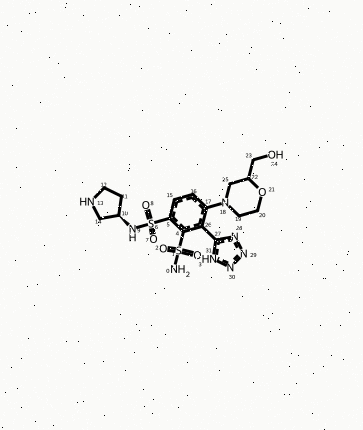 NS(=O)(=O)c1c(S(=O)(=O)N[C@@H]2CCNC2)ccc(N2CCOC(CO)C2)c1-c1nnn[nH]1